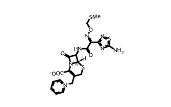 CSCON=C(C(=O)NC1C(=O)N2C(C(=O)[O-])=C(C[n+]3ccccc3)CS[C@@H]12)c1nsc(N)n1